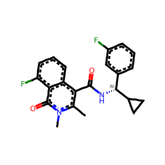 Cc1c(C(=O)N[C@H](c2cccc(F)c2)C2CC2)c2cccc(F)c2c(=O)n1C